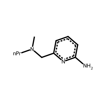 CCCN(C)Cc1cccc(N)n1